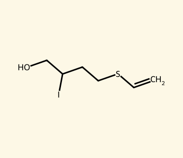 C=CSCCC(I)CO